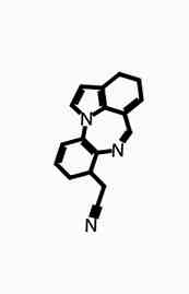 N#CCC1CC=CC2=C1N=CC1=CCCc3ccn2c31